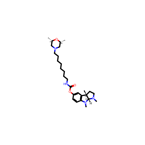 C[C@@H]1CN(CCCCCCCCNC(=O)Oc2ccc3c(c2)[C@]2(C)CCN(C)[C@@H]2N3C)C[C@H](C)O1